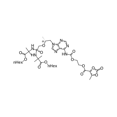 CCCCCCOC(=O)C(C)(C)NP(=O)(CO[C@H](C)Cn1cnc2c(NC(=O)OCCOC(=O)c3oc(=O)oc3C)ncnc21)NC(C)(C)C(=O)OCCCCCC